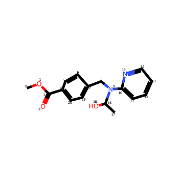 COC(=O)c1ccc(CN(c2ccccn2)C(C)O)cc1